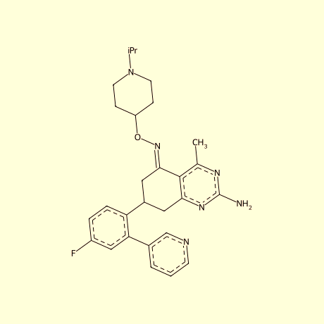 Cc1nc(N)nc2c1/C(=N/OC1CCN(C(C)C)CC1)CC(c1ccc(F)cc1-c1cccnc1)C2